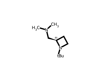 CN(C)C[C@H]1CCN1C(C)(C)C